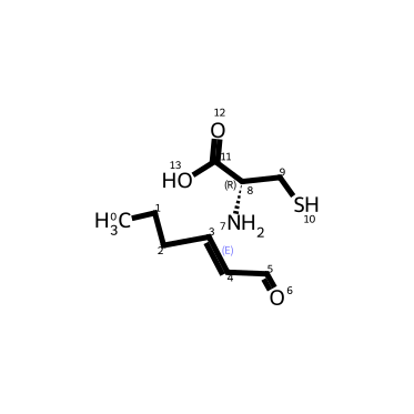 CCC/C=C/C=O.N[C@@H](CS)C(=O)O